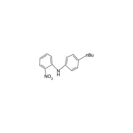 CCCCc1ccc(Nc2ccccc2[N+](=O)[O-])cc1